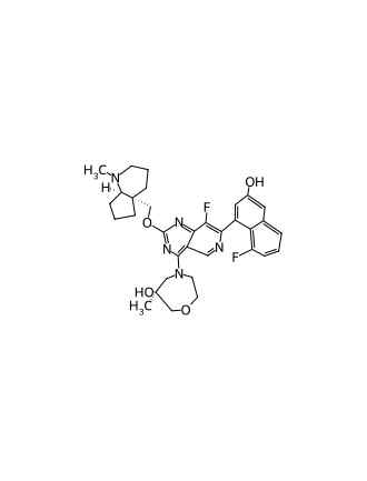 CN1CCC[C@@]2(COc3nc(N4CCOC[C@@](C)(O)C4)c4cnc(-c5cc(O)cc6cccc(F)c56)c(F)c4n3)CCC[C@@H]12